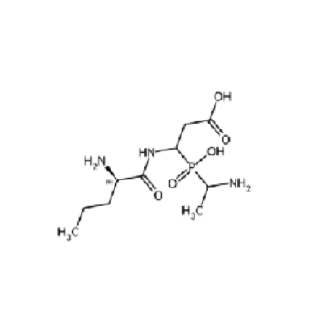 CCC[C@@H](N)C(=O)NC(CC(=O)O)P(=O)(O)C(C)N